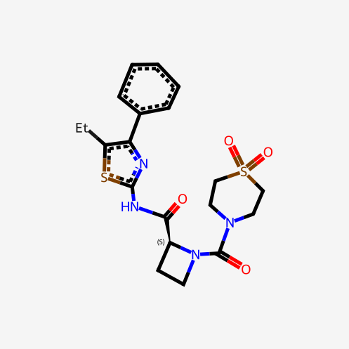 CCc1sc(NC(=O)[C@@H]2CCN2C(=O)N2CCS(=O)(=O)CC2)nc1-c1ccccc1